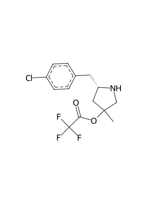 CC1(OC(=O)C(F)(F)F)CN[C@@H](Cc2ccc(Cl)cc2)C1